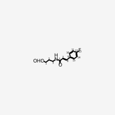 O=CCCCNC(=O)C=Cc1ccc(F)cc1